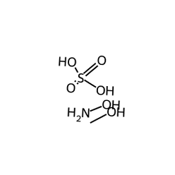 CO.NO.O=S(=O)(O)O